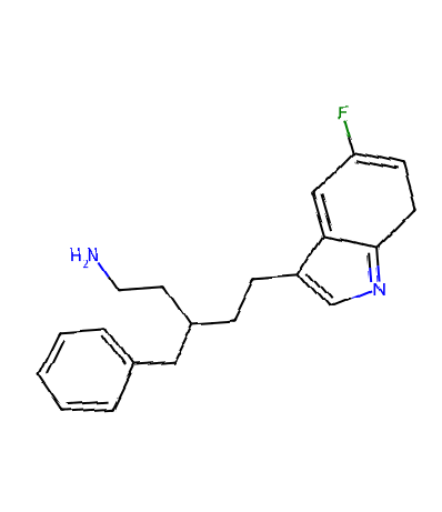 NCCC(CCC1=CN=C2CC=C(F)C=C12)Cc1ccccc1